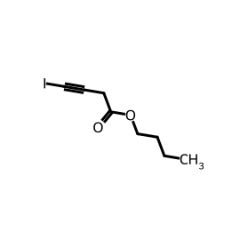 CCCCOC(=O)CC#CI